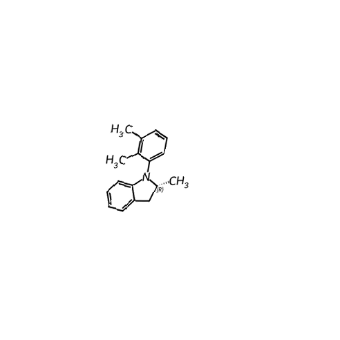 Cc1cccc(N2c3ccccc3C[C@H]2C)c1C